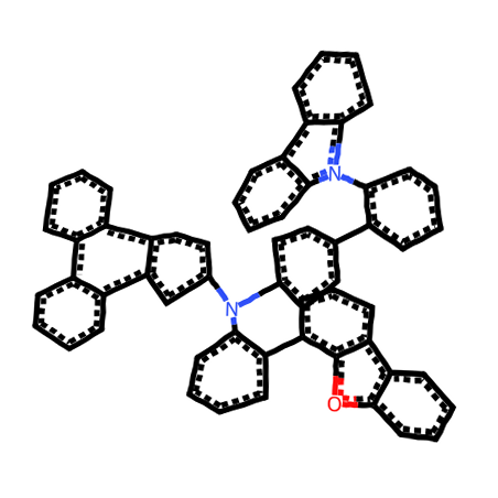 c1ccc(N(c2ccc(-c3ccccc3-n3c4ccccc4c4ccccc43)cc2)c2ccc3c4ccccc4c4ccccc4c3c2)c(-c2cccc3c2oc2ccccc23)c1